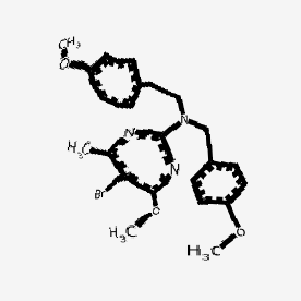 COc1ccc(CN(Cc2ccc(OC)cc2)c2nc(C)c(Br)c(OC)n2)cc1